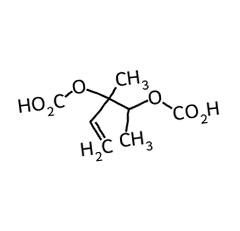 C=CC(C)(OC(=O)O)C(C)OC(=O)O